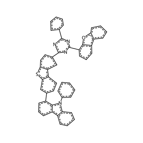 c1ccc(-c2nc(-c3ccc4sc5cc(-c6cccc7c8ccccc8n(-c8ccccc8)c67)ccc5c4c3)nc(-c3cccc4c3oc3ccccc34)n2)cc1